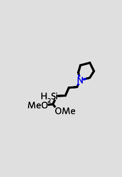 COC(OC)[SiH2]CCCN1CCCCC1